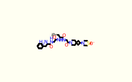 CC(C)CC(NC(=O)CNC(=O)C(N)Cc1ccccc1)C(=O)NCC(=O)N1CCC2(CC1)CC(N1CC[S+]([O-])CC1)C2